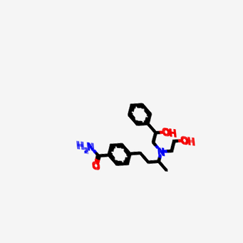 CC(CCc1ccc(C(N)=O)cc1)N(CCO)CC(O)c1ccccc1